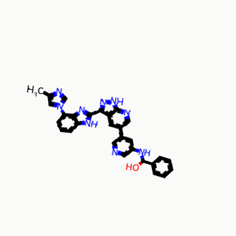 Cc1cn(-c2cccc3[nH]c(-c4n[nH]c5ncc(-c6cncc(NC(O)c7ccccc7)c6)cc45)nc23)cn1